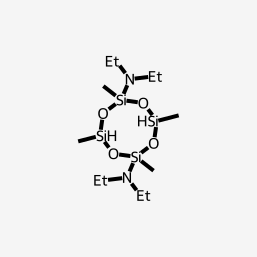 CCN(CC)[Si]1(C)O[SiH](C)O[Si](C)(N(CC)CC)O[SiH](C)O1